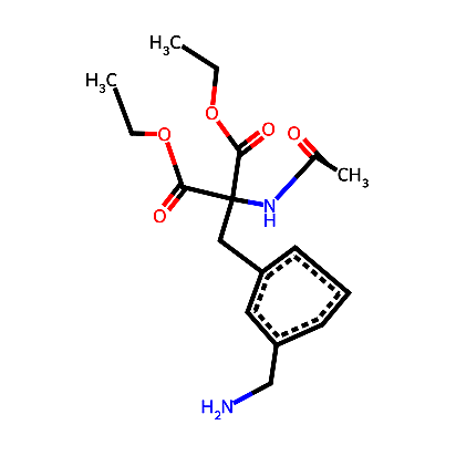 CCOC(=O)C(Cc1cccc(CN)c1)(NC(C)=O)C(=O)OCC